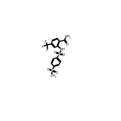 CS(=O)(=O)c1ccc(S(=O)(=O)Nc2cc(C(F)(F)F)ccc2C(N)=O)cc1